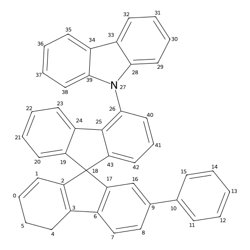 C1=CC2=C(CC1)c1ccc(-c3ccccc3)cc1C21c2ccccc2-c2c(-n3c4ccccc4c4ccccc43)cccc21